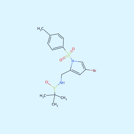 Cc1ccc(S(=O)(=O)n2cc(Br)cc2CN[S+]([O-])C(C)(C)C)cc1